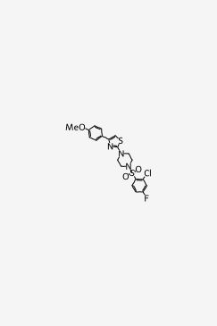 COc1ccc(-c2csc(N3CCN(S(=O)(=O)c4ccc(F)cc4Cl)CC3)n2)cc1